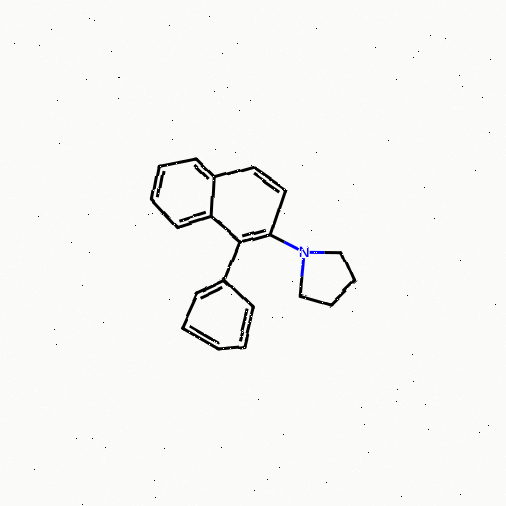 c1ccc(-c2c(N3CCCC3)ccc3ccccc23)cc1